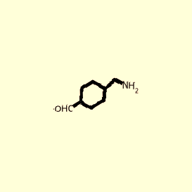 NCC1CCC([C]=O)CC1